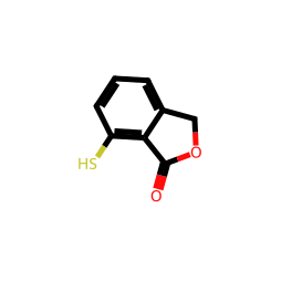 O=C1OCc2cccc(S)c21